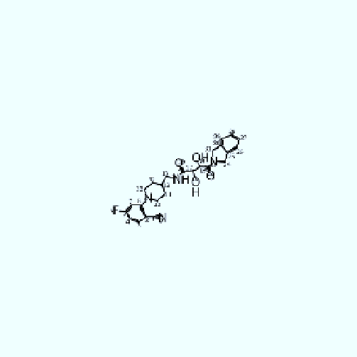 N#Cc1ccc(F)cc1N1CCC(CNC(=O)[C@H](O)[C@@H](O)C(=O)N2Cc3ccccc3C2)CC1